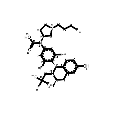 C[C@@H]1Cc2cc(O)ccc2[C@@H](c2c(F)cc(N(C(=O)O)[C@H]3CCN(CCCF)C3)cc2F)N1CC(F)(F)F